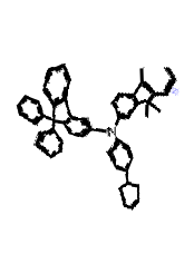 C/C=C\C1=C(C)c2ccc(N(c3ccc(C4C=CC=CC4)cc3)c3ccc4c(c3)-c3ccccc3C4(c3ccccc3)c3ccccc3)cc2C1(C)C